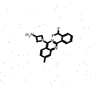 Cc1ccc2c(N3CC(N)C3)nc(-c3ccccc3C(F)F)nc2c1